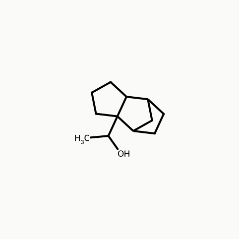 CC(O)C12CCCC1C1CCC2C1